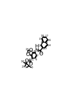 CC1(C)OB(c2ccc(NC(=O)c3ccc4ccccc4c3)c3c2OCO3)OC1(C)C